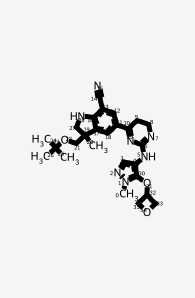 Cn1ncc(NC2=NCCC(c3cc(C#N)c4c(c3)C(C)(COC(C)(C)C)CN4)=N2)c1OC1COC1